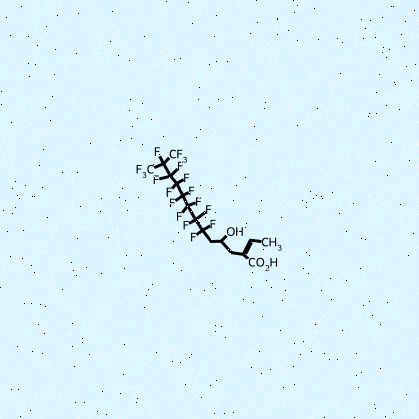 CC=C(CC(O)CC(F)(F)C(F)(F)C(F)(F)C(F)(F)C(F)(F)C(F)(F)C(F)(C(F)(F)F)C(F)(F)F)C(=O)O